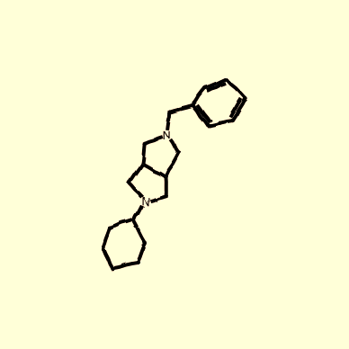 c1ccc(CN2CC3CN(C4CCCCC4)CC3C2)cc1